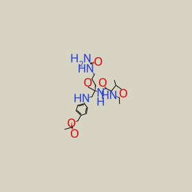 CC(=O)N[C@H](C(=O)N[C@](C=O)(CCCNC(N)=O)CNc1ccc(COC(C)=O)cc1)C(C)C